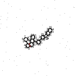 c1ccc(-c2ccccc2-c2c3ccccc3c(-c3cccc(-c4ccc5c(c4)sc4cc6ccccc6cc45)c3)c3ccccc23)cc1